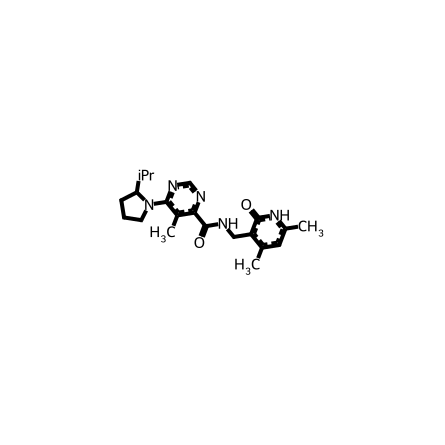 Cc1cc(C)c(CNC(=O)c2ncnc(N3CCCC3C(C)C)c2C)c(=O)[nH]1